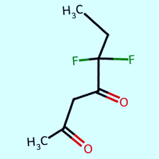 CCC(F)(F)C(=O)CC(C)=O